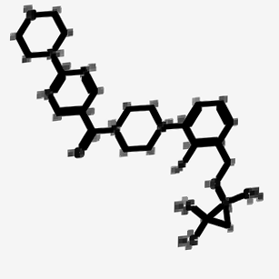 CC1(C)C[Si]1(C)OCc1cccc(N2CCN(C(=O)c3cnc(N4CCOCC4)nc3)CC2)c1F